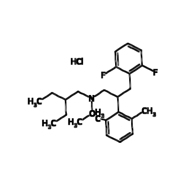 CCC(CC)CN(CC(Cc1c(F)cccc1F)c1c(C)cccc1C)OC.Cl